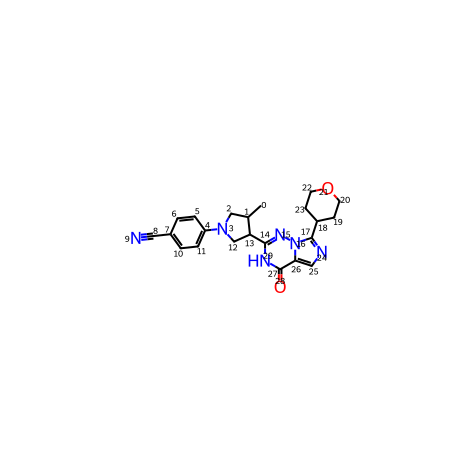 CC1CN(c2ccc(C#N)cc2)CC1c1nn2c(C3CCOCC3)ncc2c(=O)[nH]1